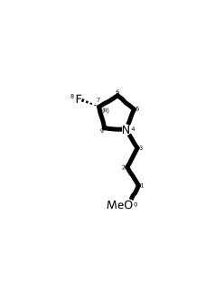 COCCCN1CC[C@@H](F)C1